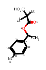 CCC(CC)(C(=O)O)C(=O)OC(C)c1ccc(C#N)cc1